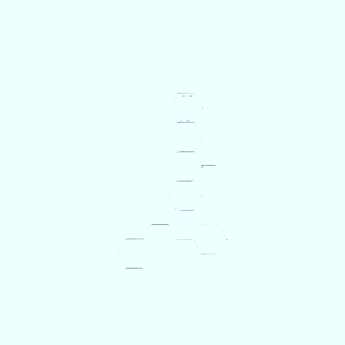 NC(Cc1ccc(Cl)cc1)C(=O)N1CCN(C(CC2CCCCC2)CN2CCCCC2)CC1